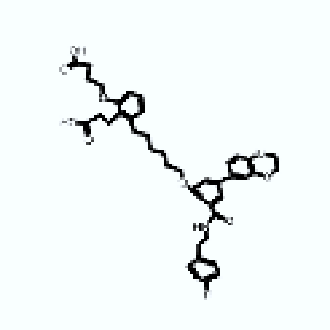 O=C(O)CCCOc1cccc(CCCCCCOc2cc(C(=O)NCCc3ccc(F)cc3)cc(-c3ccc4c(c3)OCCO4)c2)c1CCC(=O)O